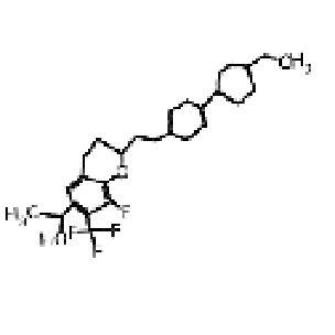 CCC1CCC(C2CCC(CCC3CCc4cc(C(C)O)c(C(F)(F)F)c(F)c4O3)CC2)CC1